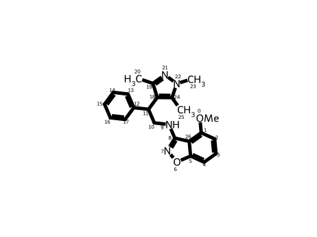 COc1cccc2onc(NCC(c3ccccc3)c3c(C)nn(C)c3C)c12